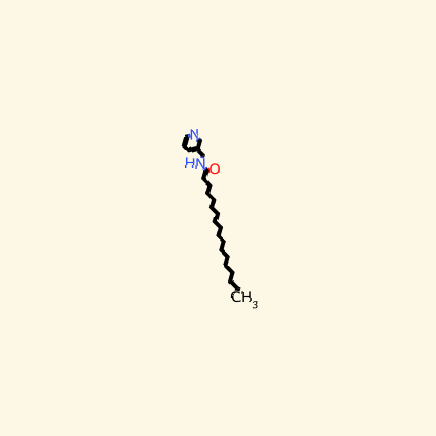 CCCCCCCCCCCCCCCCCC(=O)NCc1cccnc1